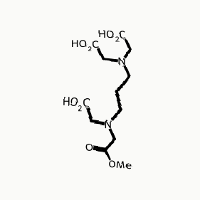 COC(=O)CN(CCCN(CC(=O)O)CC(=O)O)CC(=O)O